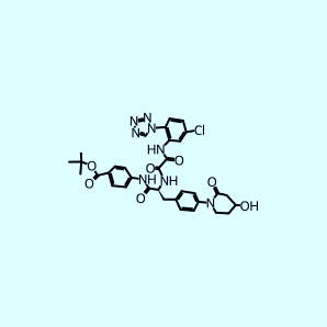 CC(C)(C)OC(=O)c1ccc(NC(=O)[C@H](Cc2ccc(N3CCC(O)CC3=O)cc2)NC(=O)C(=O)Nc2cc(Cl)ccc2-n2cnnn2)cc1